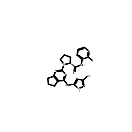 CC(C)c1cc(Nc2nc(N3CCC[C@H]3C(=O)Nc3cccnc3F)nc3c2CCC3)[nH]n1